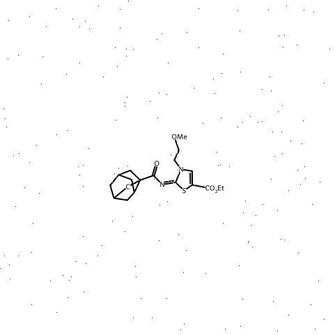 CCOC(=O)c1cn(CCOC)c(=NC(=O)C23CC4CC(CC2C4)C3)s1